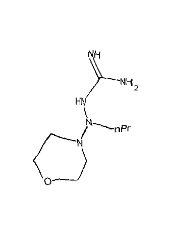 CCCN(NC(=N)N)N1CCOCC1